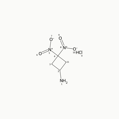 Cl.NC1CC([N+](=O)[O-])([N+](=O)[O-])C1